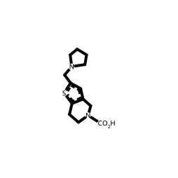 O=C(O)N1CCc2sc(CN3CCCC3)cc2C1